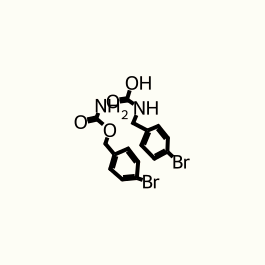 NC(=O)OCc1ccc(Br)cc1.O=C(O)NCc1ccc(Br)cc1